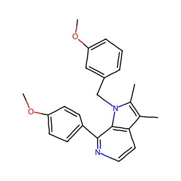 COc1ccc(-c2nccc3c(C)c(C)n(Cc4cccc(OC)c4)c23)cc1